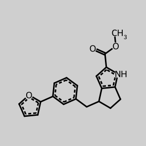 COC(=O)c1cc2c([nH]1)CCC2Cc1cccc(-c2ccco2)c1